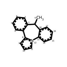 CC1c2ccccc2-c2cccn2-c2ccccc21